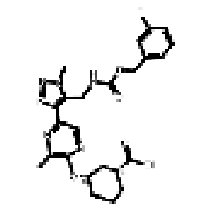 Cc1nc(-c2nnn(C)c2CNC(=O)OCc2cccc(F)c2)cnc1O[C@H]1CCC[C@H](C(=O)O)C1